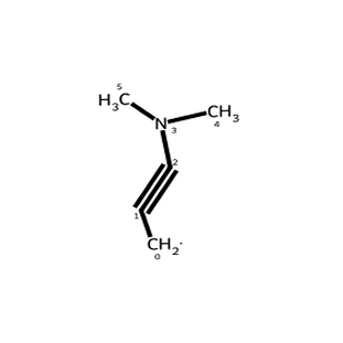 [CH2]C#CN(C)C